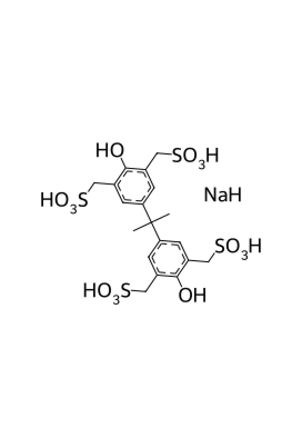 CC(C)(c1cc(CS(=O)(=O)O)c(O)c(CS(=O)(=O)O)c1)c1cc(CS(=O)(=O)O)c(O)c(CS(=O)(=O)O)c1.[NaH]